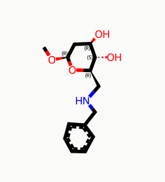 CO[C@H]1C[C@@H](O)[C@H](O)[C@@H](CNCc2ccccc2)O1